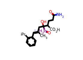 C/C(=C\c1ccccc1C(C)C)CC(O)([PH2]=O)C(CCC(N)=O)C(=O)O